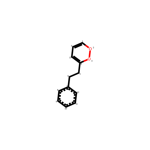 C1=COOC(CCc2ccccc2)=C1